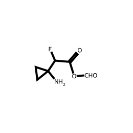 NC1(C(F)C(=O)OC=O)CC1